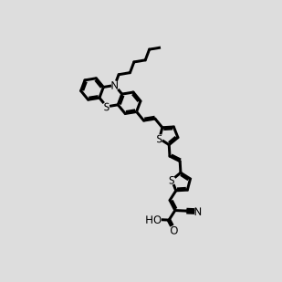 CCCCCCN1c2ccccc2Sc2cc(/C=C/c3ccc(/C=C/c4ccc(/C=C(\C#N)C(=O)O)s4)s3)ccc21